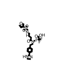 CN(CCc1ccc(C2=NCCN2)cc1)C(=O)CCCNCS(=O)(=O)c1ccoc1.O=C(O)C(F)(F)F